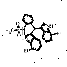 CCc1cccc2c(C(c3ccccc3NS(C)(=O)=O)c3c[nH]c4c(CC)cccc34)c[nH]c12